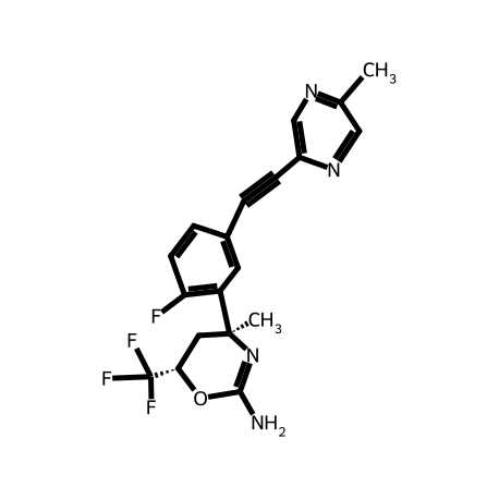 Cc1cnc(C#Cc2ccc(F)c([C@]3(C)C[C@@H](C(F)(F)F)OC(N)=N3)c2)cn1